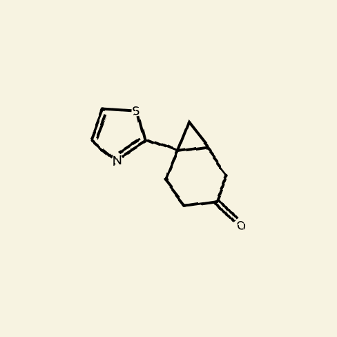 O=C1CCC2(c3nccs3)CC2C1